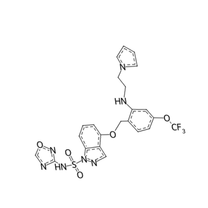 O=S(=O)(Nc1ncon1)n1ncc2c(OCc3ccc(OC(F)(F)F)cc3NCCn3cccc3)cccc21